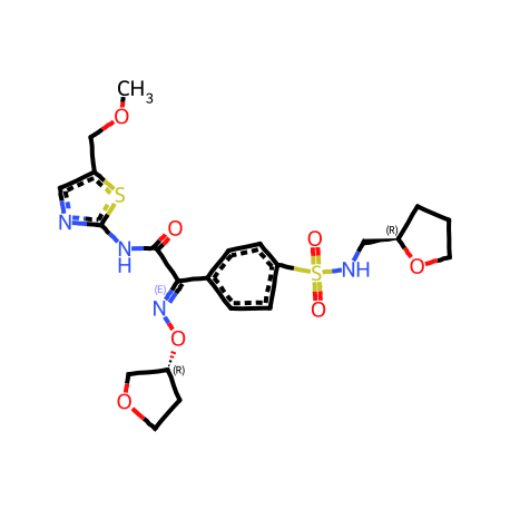 COCc1cnc(NC(=O)/C(=N/O[C@@H]2CCOC2)c2ccc(S(=O)(=O)NC[C@H]3CCCO3)cc2)s1